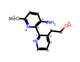 COc1ccc(N)c(-c2ncccc2CCO)n1